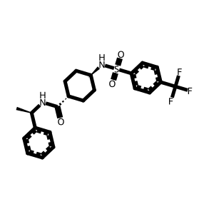 C[C@@H](NC(=O)[C@H]1CC[C@H](NS(=O)(=O)c2ccc(C(F)(F)F)cc2)CC1)c1ccccc1